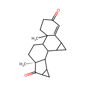 CC12CCC(=O)C=C1C1CC1C1C2CC[C@]2(C)C(=O)C3CC3C12